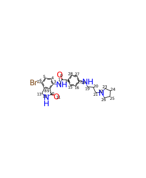 O=C(Nc1ccc(Br)c2c1C(=O)NC2)c1ccc(NCCCN2CCCC2)cc1